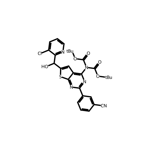 CC(C)(C)OC(=O)N(C(=O)OC(C)(C)C)c1nc(-c2cccc(C#N)c2)nc2sc(C(O)c3ncccc3Cl)cc12